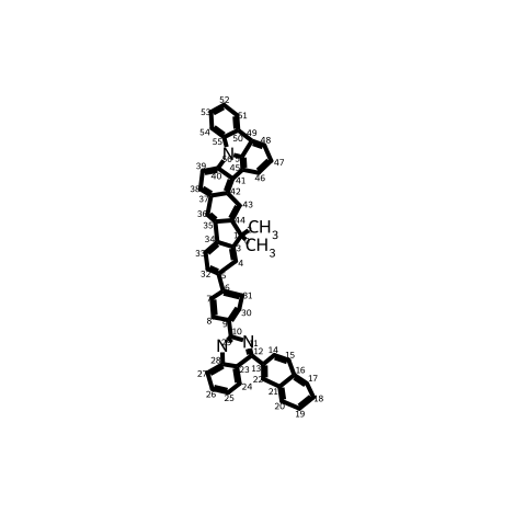 CC1(C)c2cc(-c3ccc(-c4nc(-c5ccc6ccccc6c5)c5ccccc5n4)cc3)ccc2-c2cc3ccc4c(c3cc21)c1cccc2c3ccccc3n4c21